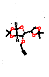 C#CCO[C@@H]1[C@@H]2OC(C)(C)O[C@@H]2O[C@@H]1[C@H]1COC(C)(C)O1